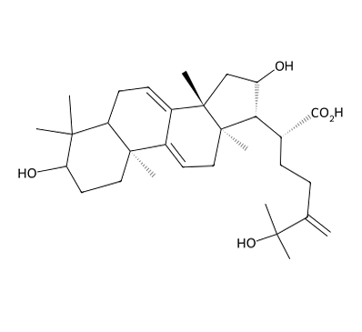 C=C(CC[C@@H](C(=O)O)[C@H]1C(O)C[C@@]2(C)C3=CCC4C(C)(C)C(O)CC[C@]4(C)C3=CC[C@]12C)C(C)(C)O